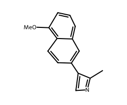 COc1cccc2cc(C3=CN=C3C)ccc12